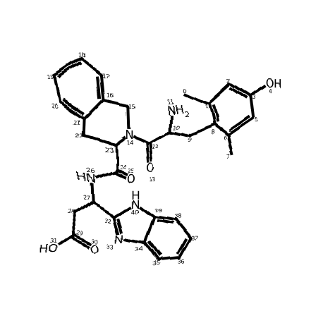 Cc1cc(O)cc(C)c1CC(N)C(=O)N1Cc2ccccc2CC1C(=O)NC(CC(=O)O)c1nc2ccccc2[nH]1